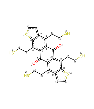 O=C1c2c(c(CCS)c3sccc3c2CCS)C(=O)c2c1c(CCS)c1sccc1c2CCS